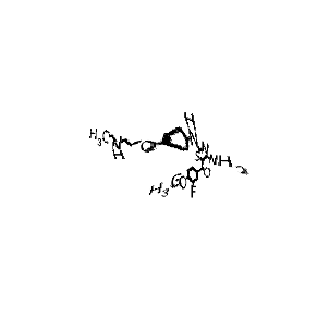 CCNCCCOc1ccc(Nc2nc(N)c(C(=O)c3ccc(OC)c(F)c3)s2)cc1